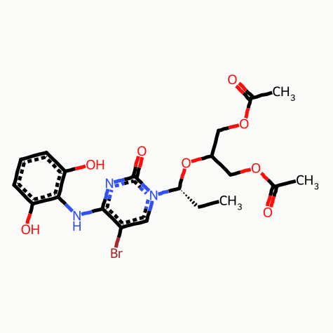 CC[C@@H](OC(COC(C)=O)COC(C)=O)n1cc(Br)c(Nc2c(O)cccc2O)nc1=O